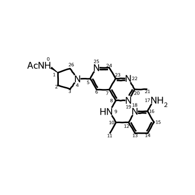 CC(=O)N[C@@H]1CCN(c2cc3c(NC(C)c4cccc(N)n4)nc(C)nc3cn2)C1